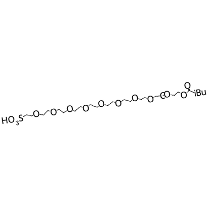 CCC(C)C(=O)OCCOCCOCCOCCOCCOCCOCCOCCOCCOCCS(=O)(=O)O